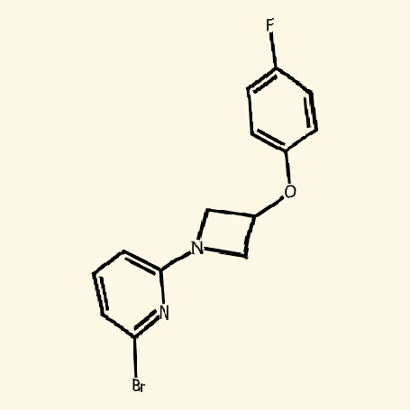 Fc1ccc(OC2CN(c3cccc(Br)n3)C2)cc1